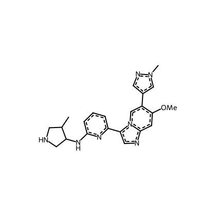 COc1cc2ncc(-c3cccc(NC4CNCC4C)n3)n2cc1-c1cnn(C)c1